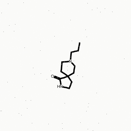 CCCN1CCC2(CCNC2=O)CC1